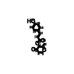 Cc1occc(=O)c1OC(=O)/C=C/c1ccc(O)cc1